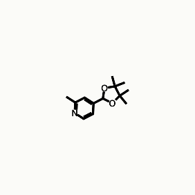 Cc1cc(C2OC(C)(C)C(C)(C)O2)ccn1